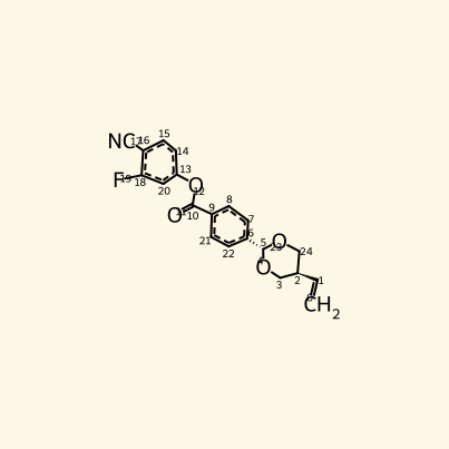 C=C[C@H]1CO[C@H](c2ccc(C(=O)Oc3ccc(C#N)c(F)c3)cc2)OC1